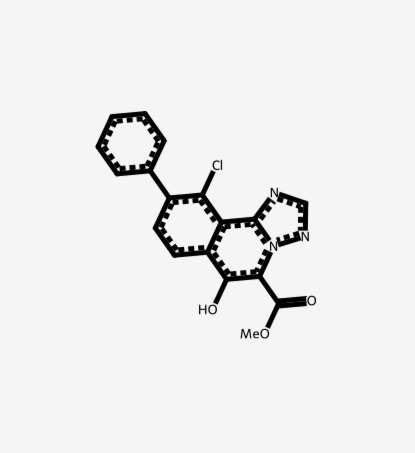 COC(=O)c1c(O)c2ccc(-c3ccccc3)c(Cl)c2c2ncnn12